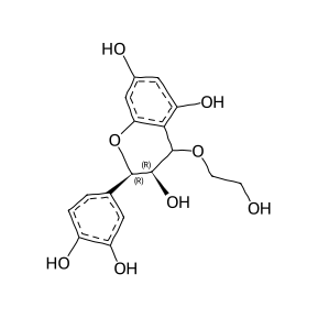 OCCOC1c2c(O)cc(O)cc2O[C@H](c2ccc(O)c(O)c2)[C@@H]1O